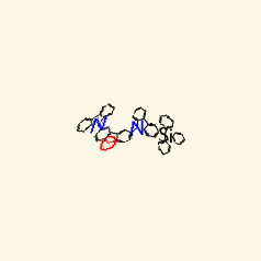 c1ccc([Si](c2ccccc2)(c2ccccc2)c2ccc3c(c2)c2ccccc2n3-c2ccc3oc4ccc(-n5c6ccccc6c6ccccc65)cc4c3c2)cc1